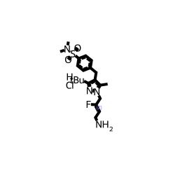 Cc1c(Cc2ccc(S(=O)(=O)N(C)C)cc2)c(C(C)(C)C)nn1C/C(F)=C/CN.Cl